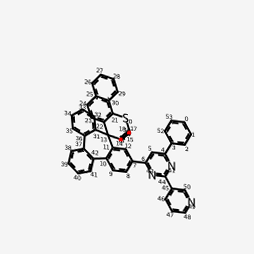 c1ccc(-c2cc(-c3ccc4c(c3)C3(c5ccccc5Sc5c3ccc3ccccc53)c3ccccc3-c3ccccc3-4)nc(-c3cccnc3)n2)cc1